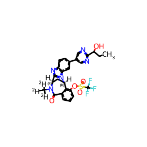 [2H]C([2H])([2H])N1C(=O)c2cccc(OS(=O)(=O)C(F)(F)F)c2[C@H]2C[C@@H]1c1nc3ccc(-c4cnc(C(O)CC)nc4)cc3n12